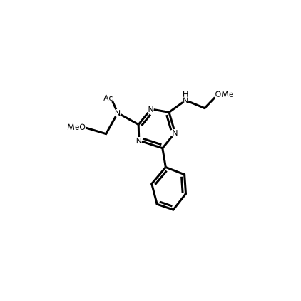 COCNc1nc(-c2ccccc2)nc(N(COC)C(C)=O)n1